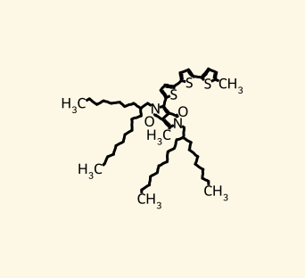 CCCCCCCCCCC(CCCCCCCC)CN1C(=O)C2=C(c3ccc(-c4ccc(-c5ccc(C)s5)s4)s3)N(CC(CCCCCCCC)CCCCCCCCCC)C(=O)C2=C1C